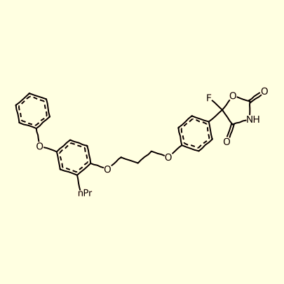 CCCc1cc(Oc2ccccc2)ccc1OCCCOc1ccc(C2(F)OC(=O)NC2=O)cc1